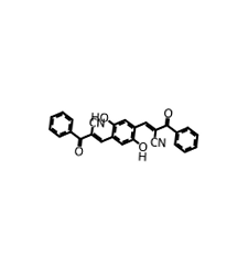 N#C/C(=C\c1cc(O)c(/C=C(\C#N)C(=O)c2ccccc2)cc1O)C(=O)c1ccccc1